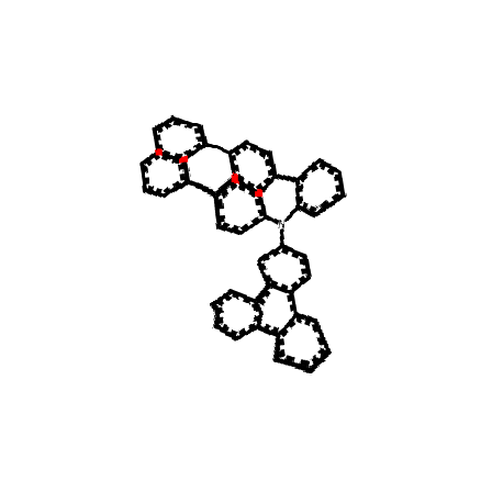 c1ccc(-c2ccc(-c3ccccc3N(c3ccc(-c4ccccc4)cc3)c3ccc4c5ccccc5c5ccccc5c4c3)cc2)cc1